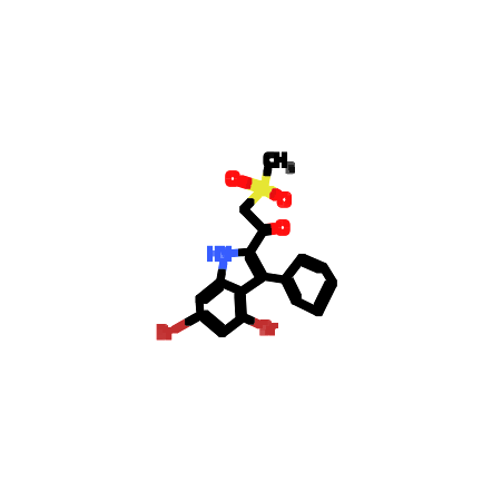 CS(=O)(=O)CC(=O)c1[nH]c2cc(Br)cc(Br)c2c1-c1ccccc1